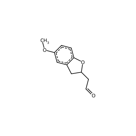 COc1ccc2c(c1)CC(CC=O)O2